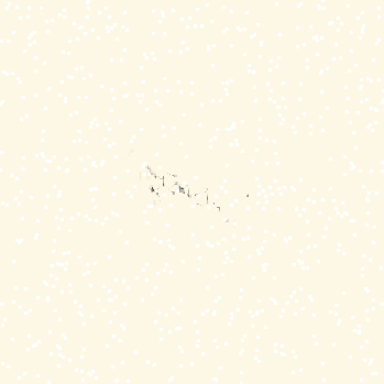 CCCCCN(CCC)c1ccc(NPc2ccc(NCCCC)c([N+](=O)[O-])c2)cc1